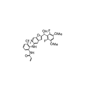 C=CC(=O)Nc1cccc(C(F)(F)F)c1Nc1cc2cc(C(O)c3c(F)c(OC)cc(OC)c3F)oc2cn1